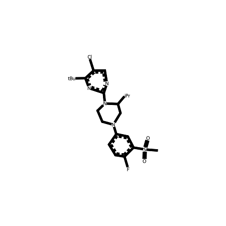 CC(C)C1CN(c2ccc(F)c(S(C)(=O)=O)c2)CCN1c1ncc(Cl)c(C(C)(C)C)n1